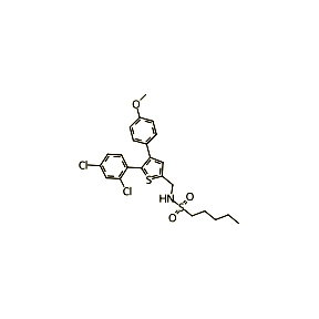 CCCCCS(=O)(=O)NCc1cc(-c2ccc(OC)cc2)c(-c2ccc(Cl)cc2Cl)s1